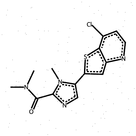 CN(C)C(=O)c1ncc(-c2cc3nccc(Cl)c3s2)n1C